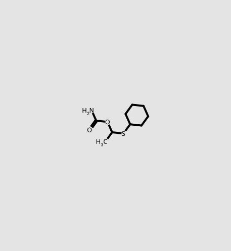 CC(OC(N)=O)SC1CCCCC1